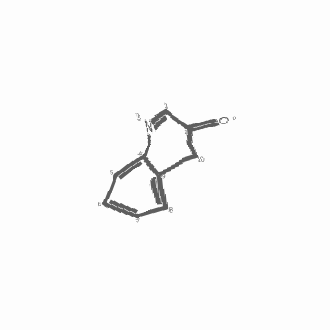 O=C1[C]=Nc2ccccc2C1